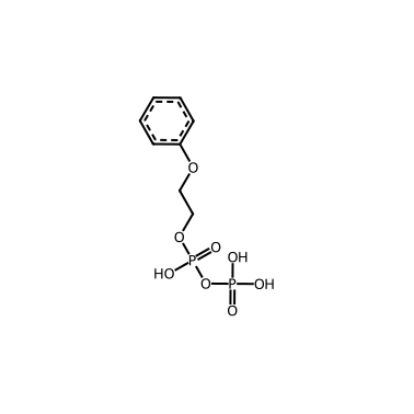 O=P(O)(O)OP(=O)(O)OCCOc1ccccc1